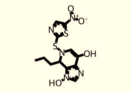 CCCC1c2c(ncn2O)C(O)=CN1Sc1ncc([N+](=O)[O-])s1